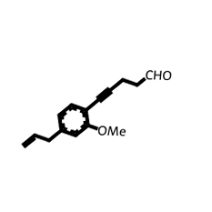 C=CCc1ccc(C#CCCC=O)c(OC)c1